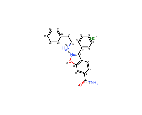 Cl.NC(=O)c1ccc2c(-c3ccccc3[C@@H](N)Cc3ccccc3)noc2c1